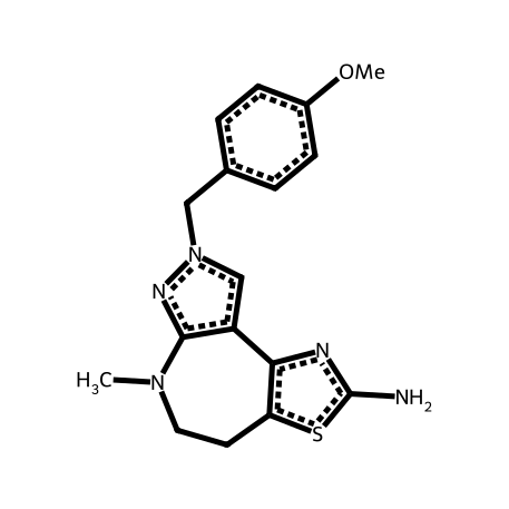 COc1ccc(Cn2cc3c(n2)N(C)CCc2sc(N)nc2-3)cc1